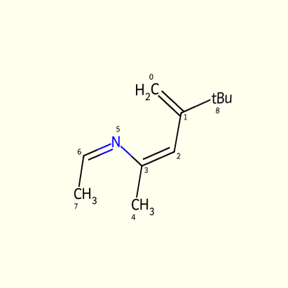 C=C(/C=C(C)\N=C/C)C(C)(C)C